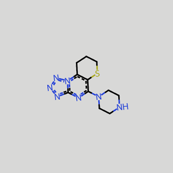 C1CSc2c(N3CCNCC3)nc3nnnn3c2C1